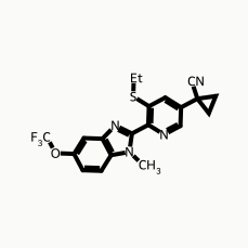 CCSc1cc(C2(C#N)CC2)cnc1-c1nc2cc(OC(F)(F)F)ccc2n1C